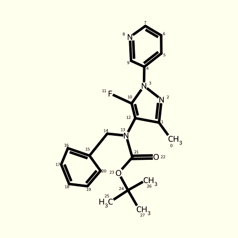 Cc1nn(-c2cccnc2)c(F)c1N(Cc1ccccc1)C(=O)OC(C)(C)C